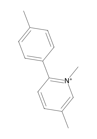 Cc1ccc(-c2ccc(C)c[n+]2C)cc1